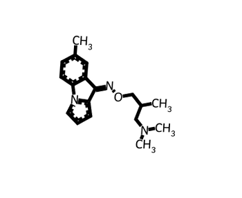 Cc1ccc2c(c1)C(=NOCC(C)CN(C)C)c1cccn1-2